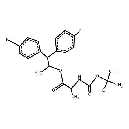 CC(NC(=O)OC(C)(C)C)C(=O)OC(C)C(c1ccc(F)cc1)c1ccc(F)cc1